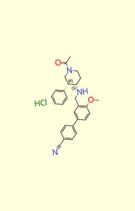 COc1ccc(-c2ccc(C#N)cc2)cc1CN[C@H]1CCN(C(C)=O)C[C@H]1c1ccccc1.Cl